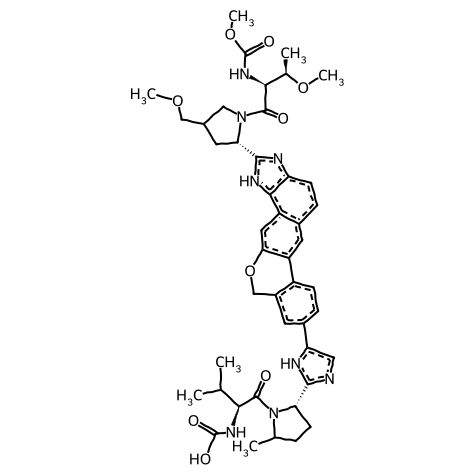 COCC1C[C@@H](c2nc3ccc4cc5c(cc4c3[nH]2)OCc2cc(-c3cnc([C@@H]4CCC(C)N4C(=O)[C@@H](NC(=O)O)C(C)C)[nH]3)ccc2-5)N(C(=O)[C@@H](NC(=O)OC)[C@@H](C)OC)C1